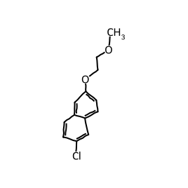 COCCOc1ccc2cc(Cl)ccc2c1